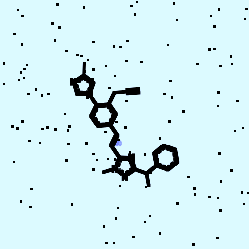 C#CCc1cc(/C=C/c2nc(C(C)c3ccccc3)nn2C)ccc1-n1cnc(C)c1